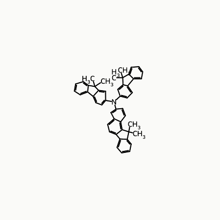 CC1(C)c2ccccc2-c2ccc(N(c3ccc4c(c3)C(C)(C)c3ccccc3-4)c3ccc4c5c(ccc4c3)-c3ccccc3C5(C)C)cc21